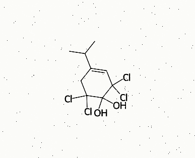 CC(C)C1=CC(Cl)(Cl)C(O)(O)C(Cl)(Cl)C1